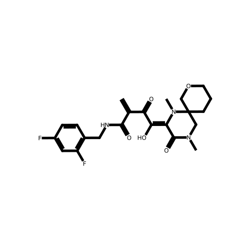 C=C(C(=O)NCc1ccc(F)cc1F)C(=O)/C(O)=C1/C(=O)N(C)CC2(CCCOC2)N1C